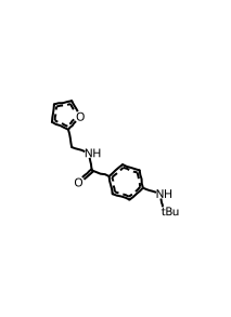 CC(C)(C)Nc1ccc(C(=O)NCc2ccco2)cc1